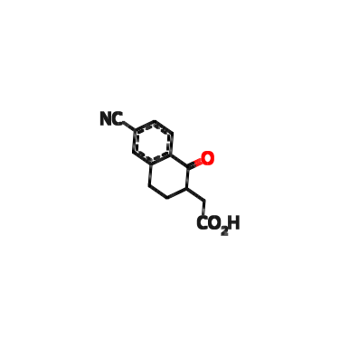 N#Cc1ccc2c(c1)CCC(CC(=O)O)C2=O